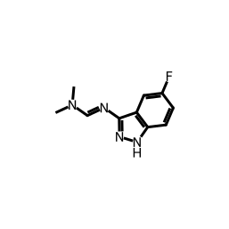 CN(C)C=Nc1n[nH]c2ccc(F)cc12